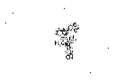 Cc1nn(Cc2ccc(C#N)cc2)c(C)c1NC(=O)c1cc(-c2ccc3c(c2)OCCO3)nc2ccccc12